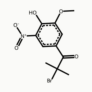 COc1cc(C(=O)C(C)(C)Br)cc([N+](=O)[O-])c1O